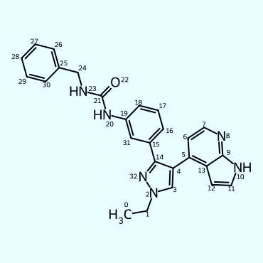 CCn1cc(-c2ccnc3[nH]ccc23)c(-c2cccc(NC(=O)NCc3ccccc3)c2)n1